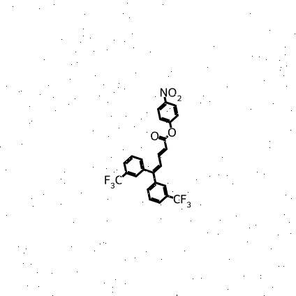 O=C(/C=C/C=C(c1cccc(C(F)(F)F)c1)c1cccc(C(F)(F)F)c1)Oc1ccc([N+](=O)[O-])cc1